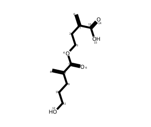 C=C(CCOC(=O)C(=C)CCCO)C(=O)O